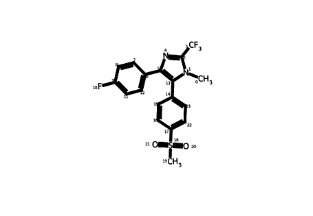 Cn1c(C(F)(F)F)nc(-c2ccc(F)cc2)c1-c1ccc(S(C)(=O)=O)cc1